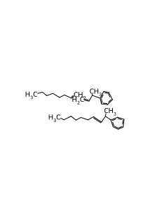 C=CC(C)c1ccccc1.C=CCCCCCC.CCCCCCC=CC(C)c1ccccc1